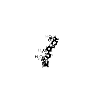 Cc1ccc(CN2CCC3(CC2)CCN3C(=O)O)cc1-c1ccc2c(n1)N(C)S(=O)(=O)N2CC1CC1(F)F